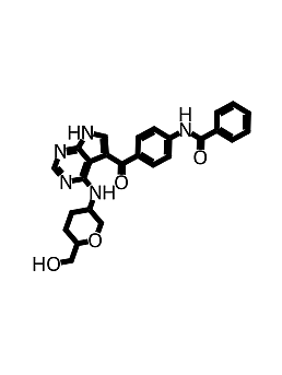 O=C(Nc1ccc(C(=O)c2c[nH]c3ncnc(NC4CCC(CO)OC4)c23)cc1)c1ccccc1